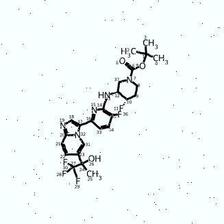 CC(C)(C)OC(=O)N1CC[C@H](F)[C@@H](Nc2nc(-c3cnc4ccc(C(C)(O)C(F)(F)F)cn34)ccc2F)C1